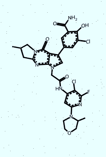 CC1Cc2nc3c(c(-c4cc(Cl)c(O)c(C(N)=O)c4)cn3CC(=O)Nc3cc(N4CCOCC4C)nc(F)c3Cl)c(=O)n2C1